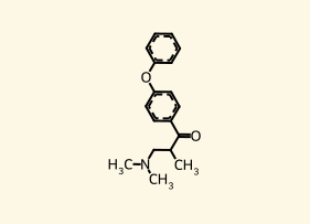 CC(CN(C)C)C(=O)c1ccc(Oc2ccccc2)cc1